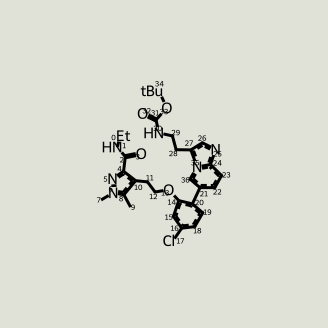 CCNC(=O)c1nn(C)c(C)c1CCOc1cc(Cl)ccc1-c1ccc2ncc(CCNC(=O)OC(C)(C)C)n2c1